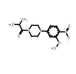 COc1cc(N2CCN(C(=O)C(C)C)CC2)ccc1[N+](=O)[O-]